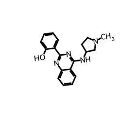 CN1CCC(Nc2nc(-c3ccccc3O)nc3ccccc23)C1